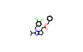 CC(C)c1nc2c(n1Cc1ccc(Cl)c(Cl)c1)C(CC(=O)OCc1ccccc1)CC2